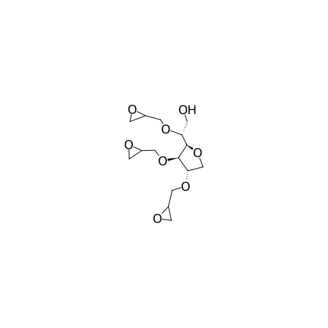 OC[C@@H](OCC1CO1)[C@H]1OC[C@H](OCC2CO2)[C@H]1OCC1CO1